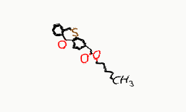 CCCCCCOC(=O)Cc1ccc2c(c1)SCc1ccccc1C2=O